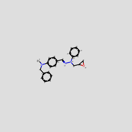 CCN(Cc1ccccc1)c1ccc(C=NN(CC2CO2)c2ccccc2)cc1